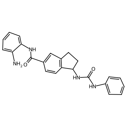 Nc1ccccc1NC(=O)c1ccc2c(c1)CCC2NC(=O)Nc1ccccc1